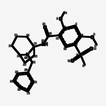 COc1cc(OC)c(S(C)(=O)=O)cc1C(=O)NC12CCCC(CC1)N2Cc1ccccc1